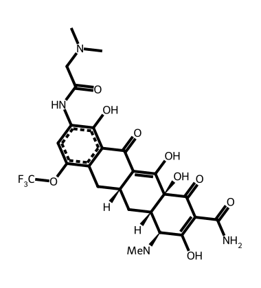 CN[C@@H]1C(O)=C(C(N)=O)C(=O)[C@@]2(O)C(O)=C3C(=O)c4c(O)c(NC(=O)CN(C)C)cc(OC(F)(F)F)c4C[C@H]3C[C@@H]12